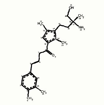 Cc1ccc(CCCC(=O)c2cc(C)c(CC[C@@](C)(N)CO)n2C)cc1C